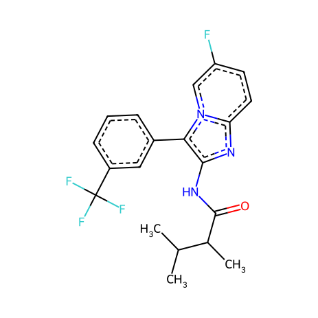 CC(C)C(C)C(=O)Nc1nc2ccc(F)cn2c1-c1cccc(C(F)(F)F)c1